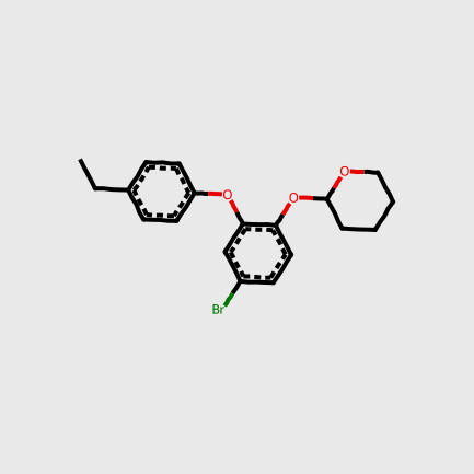 CCc1ccc(Oc2cc(Br)ccc2OC2CCCCO2)cc1